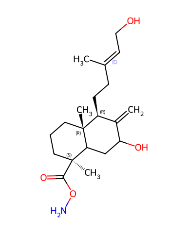 C=C1C(O)CC2[C@](C)(CCC[C@]2(C)C(=O)ON)[C@H]1CC/C(C)=C/CO